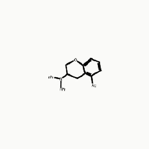 CCCN(CCC)C1COc2cccc(C(C)=O)c2C1